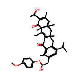 COc1ccc(OC(O)Cc2cc(C(C)C)c3c(c2C)C(=O)C2=C(C)C4(C)C(=O)C(C(C)O)=C(C)CC4(C)CC2(C)C3)cc1